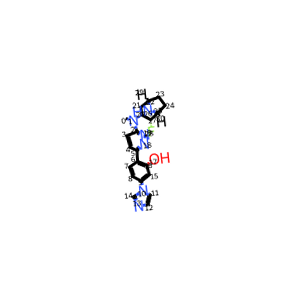 CN(c1ccc(-c2ccc(-n3ccnc3)cc2O)nn1)[C@H]1C[C@@H]2CC[C@@H](N2)[C@@H]1F